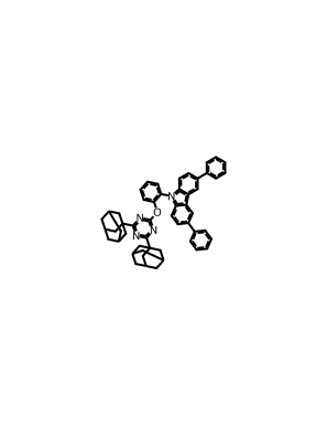 c1ccc(-c2ccc3c(c2)c2cc(-c4ccccc4)ccc2n3-c2ccccc2Oc2nc(C34CC5CC(CC(C5)C3)C4)nc(C34CC5CC(CC(C5)C3)C4)n2)cc1